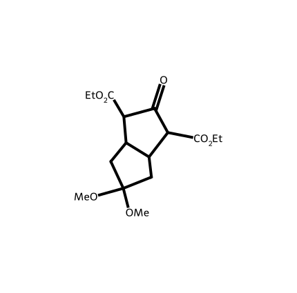 CCOC(=O)C1C(=O)C(C(=O)OCC)C2CC(OC)(OC)CC12